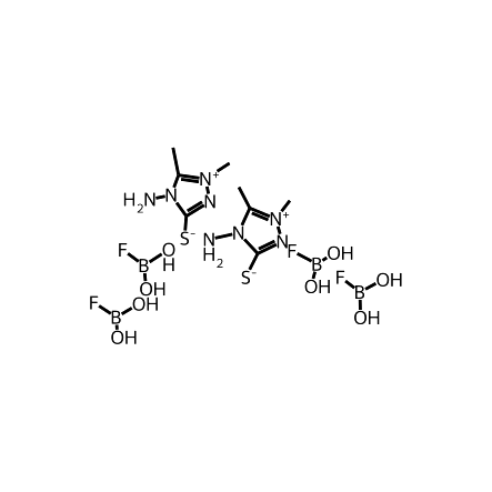 Cc1n(N)c([S-])n[n+]1C.Cc1n(N)c([S-])n[n+]1C.OB(O)F.OB(O)F.OB(O)F.OB(O)F